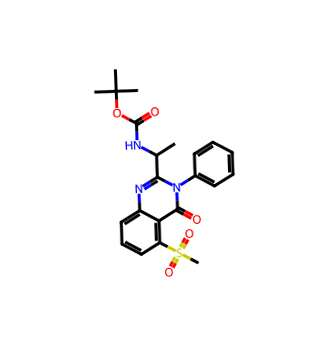 CC(NC(=O)OC(C)(C)C)c1nc2cccc(S(C)(=O)=O)c2c(=O)n1-c1ccccc1